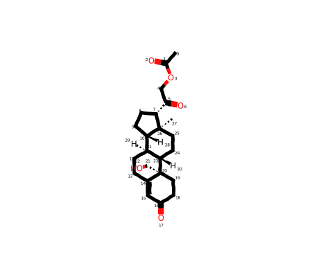 CC(=O)OCC(=O)[C@H]1CC[C@H]2[C@@H]3CCC4=CC(=O)CC[C@]4(CO)[C@H]3CC[C@]12C